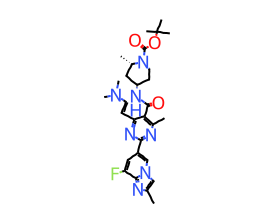 Cc1cn2cc(-c3nc(C)c(C(=O)N[C@H]4CCN(C(=O)OC(C)(C)C)[C@@H](C)C4)c(/C=C/N(C)C)n3)cc(F)c2n1